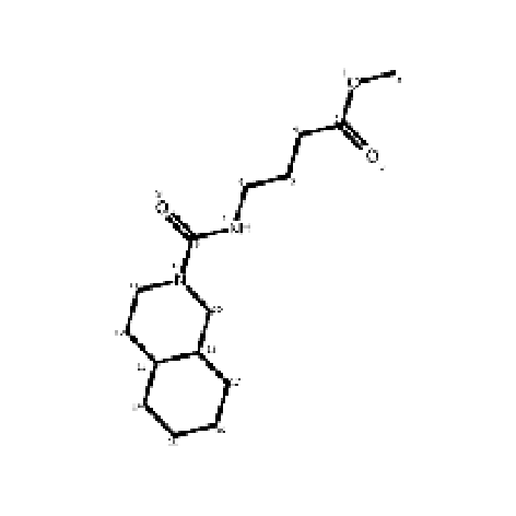 COC(=O)CCCNC(=O)N1CCC2CCCCC2C1